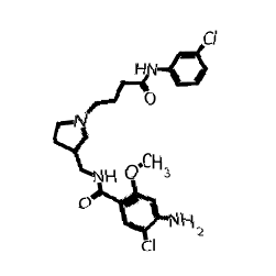 COc1cc(N)c(Cl)cc1C(=O)NCC1CCN(CCCC(=O)Nc2cccc(Cl)c2)C1